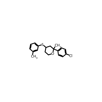 Cc1cccc(SC2CCOC(C)(c3ccc(Cl)cc3)C2)c1